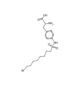 NC(Cc1ccc(NS(=O)(=O)CCCCCCCCBr)cc1)C(=O)O